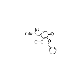 CCCCC(CC)Cn1ccc(=O)c(OCc2ccccc2)c1C=O